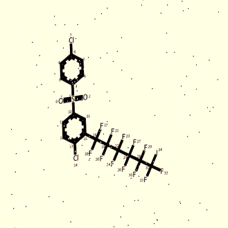 O=S(=O)(c1ccc(Cl)cc1)c1ccc(Cl)c(C(F)(F)C(F)(F)C(F)(F)C(F)(F)C(F)(F)C(F)(F)I)c1